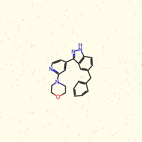 c1ccc(Cc2ccc3[nH]nc(-c4ccnc(N5CCOCC5)c4)c3c2)cc1